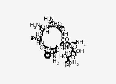 CC(C)C[C@@H]1NC(=O)[C@@H](Cc2ccccc2)NC(=O)[C@H](CCN)NC(=O)[C@@H](NC(=O)[C@H](CCN)NC(=O)[C@@H](NC(=O)[C@@H](O)[C@@H](N)CC(C)C)C(C)O)CCNC(=O)C(C(C)O)NC(=O)[C@H](CCN)NC(=O)[C@H](CCN)NC1=O